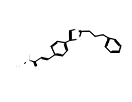 O=C(/C=C/c1ccc(-c2cnc(CCCc3ccccc3)o2)cc1)NO